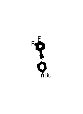 CCCC[C@H]1CC[C@H](C#Cc2ccc(F)c(F)c2)CC1